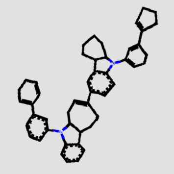 C1=CC(c2cccc(N3c4ccccc4C4CCC(c5ccc6c(c5)C5CCCCC5N6C5=CCCC(C6=CCCC6)=C5)=CCC43)c2)=CCC1